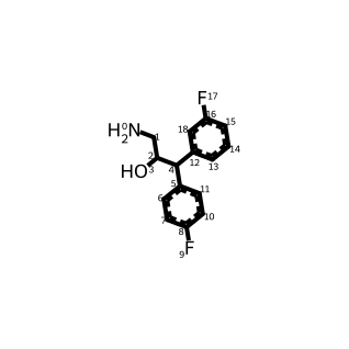 NCC(O)C(c1ccc(F)cc1)c1cccc(F)c1